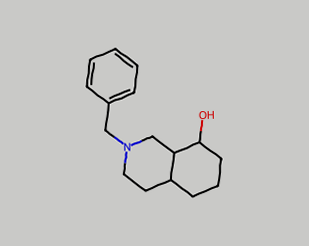 OC1CCCC2CCN(Cc3ccccc3)CC12